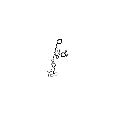 CCOC(Cc1ccc(OCCN(CCCSCc2ccccc2)C(=O)Nc2ccc(F)c(F)c2)cc1)C(=O)O